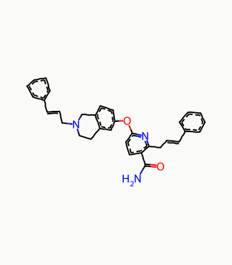 NC(=O)c1ccc(Oc2ccc3c(c2)CCN(CC=Cc2ccccc2)C3)nc1CC=Cc1ccccc1